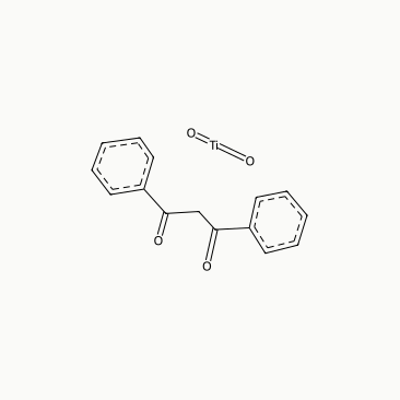 O=C(CC(=O)c1ccccc1)c1ccccc1.[O]=[Ti]=[O]